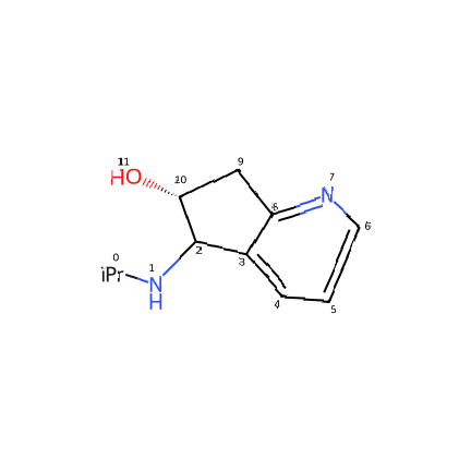 CC(C)NC1c2cccnc2C[C@H]1O